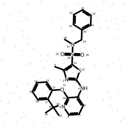 Cc1nc(Nc2cccnc2Oc2ccccc2C(C)(C)C)sc1S(=O)(=O)N(C)Cc1ccccc1